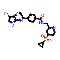 CCc1c[nH]c2nc(-c3ccc(C(=O)NCc4cc(S(=O)(=O)C5CC5)ccn4)cc3)ccc12